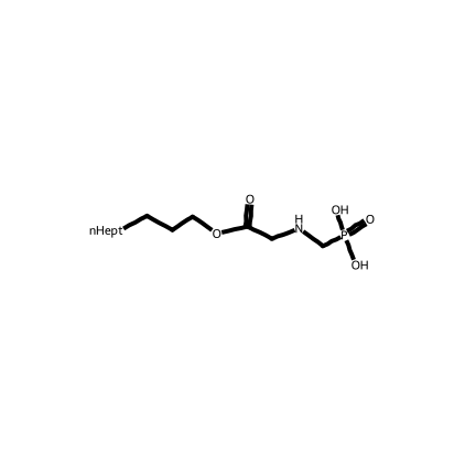 CCCCCCCCCCOC(=O)CNCP(=O)(O)O